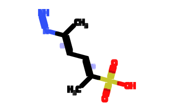 C/C(=C\C=C(/C)S(=O)(=O)O)N=N